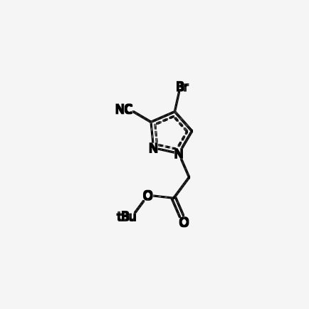 CC(C)(C)OC(=O)Cn1cc(Br)c(C#N)n1